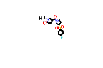 Cn1cc(C(=O)N2CCC(S(=O)(=O)c3ccc(F)cc3)C2)ccc1=O